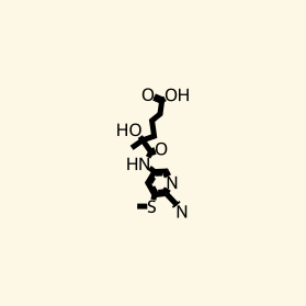 CSc1cc(NC(=O)C(C)(O)CCCC(=O)O)cnc1C#N